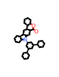 O=c1oc2ccccc2c2cc3c4ccccc4n(-c4cc(-c5ccccc5)cc(-c5ccccc5)c4)c3cc12